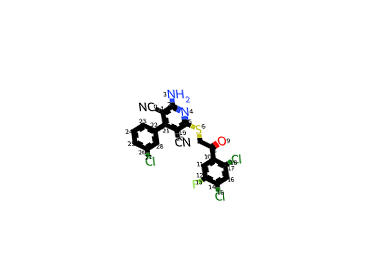 N#Cc1c(N)nc(SCC(=O)c2cc(F)c(Cl)cc2Cl)c(C#N)c1-c1cccc(Cl)c1